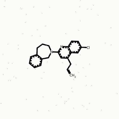 C=CCc1cc(N2CCCc3ccccc3C2)nc2ccc(Cl)cc12